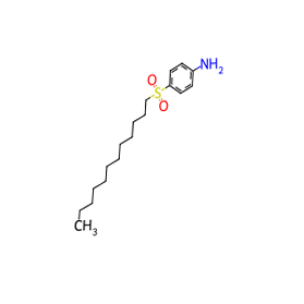 CCCCCCCCCCCCS(=O)(=O)c1ccc(N)cc1